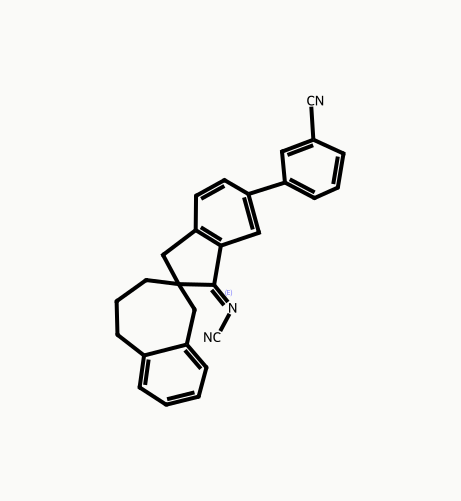 N#C/N=C1/c2cc(-c3cccc(C#N)c3)ccc2CC12CCCc1ccccc1C2